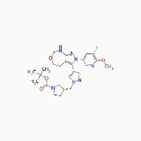 COc1ncc(-n2nc3c(c2-c2cnn(CC4CCN(C(=O)OC(C)(C)C)C4)c2)CCOCN3)cc1F